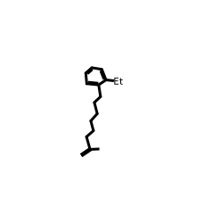 C=C(C)CCCCCCc1ccccc1CC